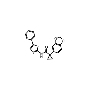 O=C(Nc1ncc(-c2ccccc2)s1)C1(c2ccc3c(c2)OCO3)CC1